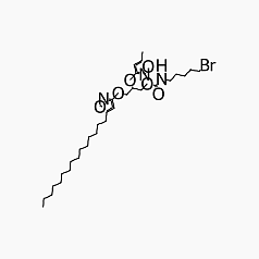 CCCCCCCCCCCCCCCc1cc(OCC(COC(=O)NCCCCCBr)Oc2cc(C)on2)no1